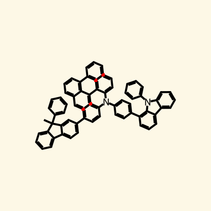 CC1(c2ccccc2)c2ccccc2-c2ccc(-c3ccc(N(c4ccc(-c5cccc6c7ccccc7n(-c7ccccc7)c56)cc4)c4ccccc4-c4cccc5cccc(-c6ccccc6)c45)cc3)cc21